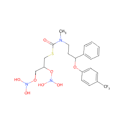 CN(CCC(Oc1ccc(C(F)(F)F)cc1)c1ccccc1)C(=O)SCC(CON(O)O)ON(O)O